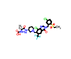 CCS(=O)(=O)c1ccc(Cl)cc1Cn1cnc2c(Cl)c(CN3CCC[C@H](NC(=O)[C@@H](C)NC(=O)O)C3)c(C(F)(F)F)cc2c1=O